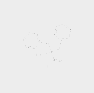 CCCCCC(Cc1ccccc1)(Cc1ccccc1)C(N)=S